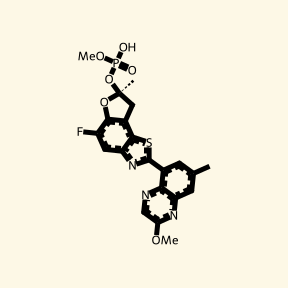 COc1cnc2c(-c3nc4cc(F)c5c(c4s3)C[C@](C)(OP(=O)(O)OC)O5)cc(C)cc2n1